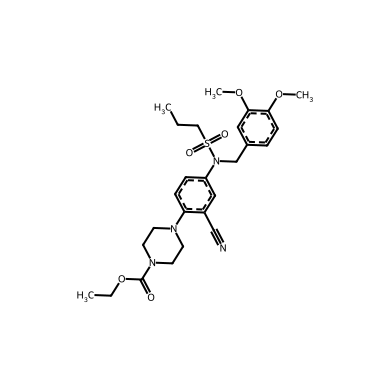 CCCS(=O)(=O)N(Cc1ccc(OC)c(OC)c1)c1ccc(N2CCN(C(=O)OCC)CC2)c(C#N)c1